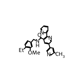 CCc1ccc(CNC(=O)c2cc(-c3cncc(C)c3)cnc2-c2ccccn2)cc1OC